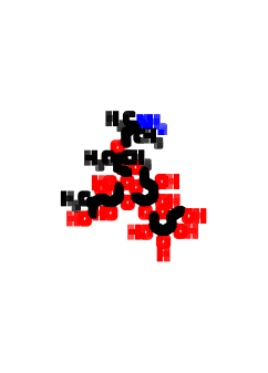 CC(CO)C(O)C(O)C(OC1OC(CO)C(O)C(O)C1OC1OC(CO)C(O)C(O)C1O)C(O)OCCC(C)(C)OCCC(C)(C)N